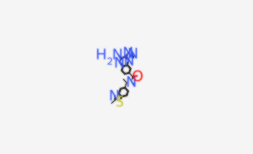 Cc1nc2cc(C(C)N(C)C(=O)c3ccc4nc(N)c5nncn5c4c3)ccc2s1